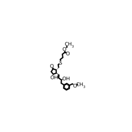 CCOC(=O)CCCSCC[C@H]1C(=O)C[C@@H](O)[C@@H]1/C=C/[C@@H](O)Cc1cccc(COC)c1